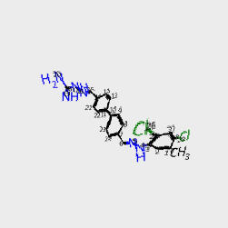 Cc1cc(N/N=C/c2ccc(-c3ccc(/C=N/NC(=N)N)cc3)cc2)c(Cl)cc1Cl